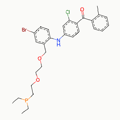 CCP(CC)CCOCCOCc1cc(Br)ccc1Nc1ccc(C(=O)c2ccccc2C)c(Cl)c1